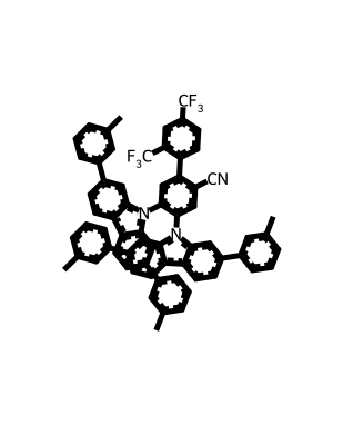 Cc1cccc(-c2ccc3c4ccc(-c5cccc(C)c5)cc4n(-c4cc(C#N)c(-c5ccc(C(F)(F)F)cc5C(F)(F)F)cc4-n4c5cc(-c6cccc(C)c6)ccc5c5ccc(-c6cccc(C)c6)cc54)c3c2)c1